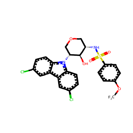 O=S(=O)(N[C@H]1COC[C@@H](n2c3ccc(Cl)cc3c3cc(Cl)ccc32)[C@@H]1O)c1ccc(OC(F)(F)F)cc1